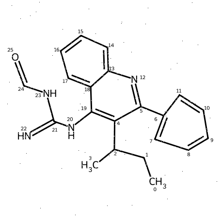 CCC(C)c1c(-c2ccccc2)nc2ccccc2c1NC(=N)NC=O